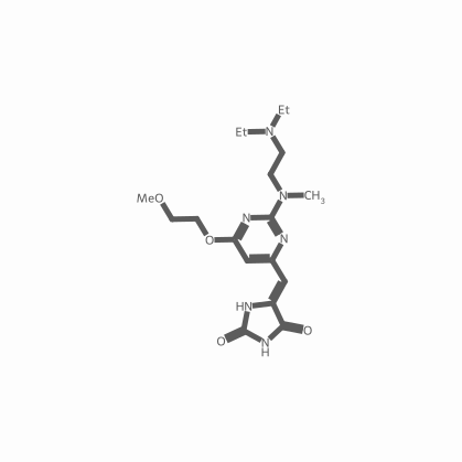 CCN(CC)CCN(C)c1nc(/C=C2\NC(=O)NC2=O)cc(OCCOC)n1